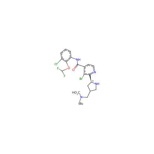 CC(C)(C)N(CC1CN[C@H](c2nccc(C(=O)Nc3cccc(Cl)c3OC(F)F)c2Br)C1)C(=O)O